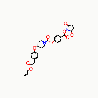 C=CCOC(=O)Cc1ccc(OC2CCN(C(=O)Oc3ccc(C(=O)ON4C(=O)CCC4=O)cc3)CC2)cc1